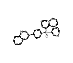 O=P(c1ccccc1)(c1ccc(-c2cnc3ccccc3c2)cc1)c1cccc2ccccc12